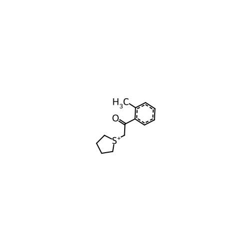 Cc1ccccc1C(=O)C[S+]1CCCC1